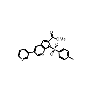 COC(=O)c1cc2cc(-c3cccnc3)cnc2n1S(=O)(=O)c1ccc(C)cc1